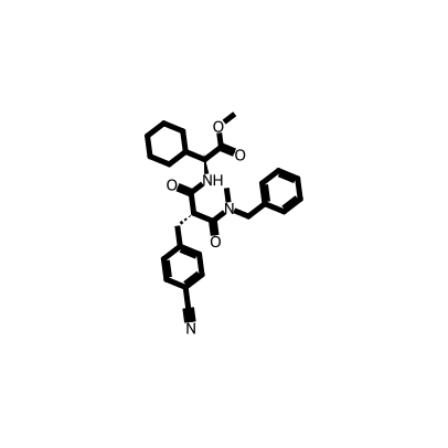 COC(=O)[C@@H](NC(=O)[C@@H](Cc1ccc(C#N)cc1)C(=O)N(C)Cc1ccccc1)C1CCCCC1